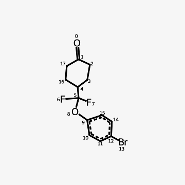 O=C1CCC(C(F)(F)Oc2ccc(Br)cc2)CC1